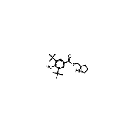 CC(C)(C)c1cc(C(=O)OCC2CCCN2)cc(C(C)(C)C)c1O